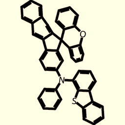 c1ccc(N(c2ccc3c(c2)C2(c4ccccc4Oc4ccccc42)c2cc4ccccc4cc2-3)c2cccc3c2sc2ccccc23)cc1